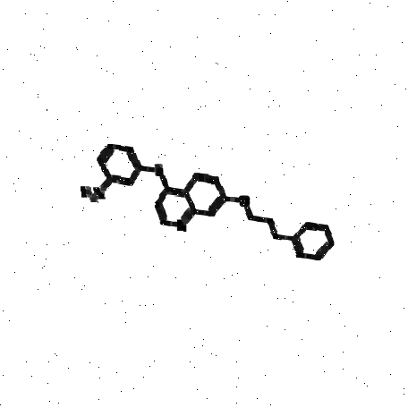 Nc1cccc(Sc2ccnc3cc(OCCCc4ccccc4)ccc23)c1